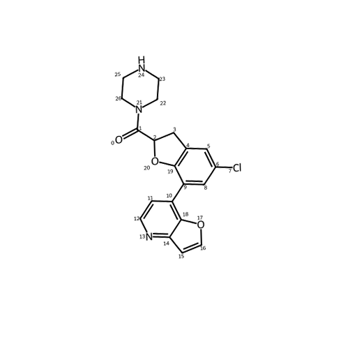 O=C(C1Cc2cc(Cl)cc(-c3ccnc4ccoc34)c2O1)N1CCNCC1